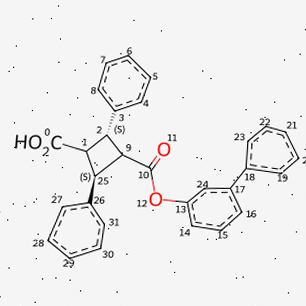 O=C(O)C1[C@H](c2ccccc2)C(C(=O)Oc2cccc(-c3ccccc3)c2)[C@H]1c1ccccc1